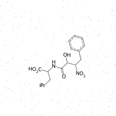 CC(C)CC(NC(=O)C(O)C(Cc1ccccc1)[N+](=O)[O-])C(=O)O